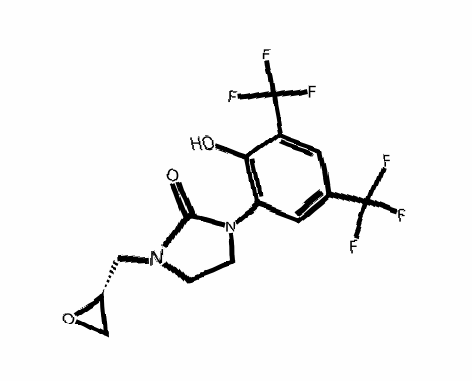 O=C1N(C[C@@H]2CO2)CCN1c1cc(C(F)(F)F)cc(C(F)(F)F)c1O